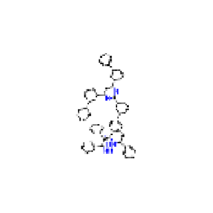 N=C(/C(=C1\NC(c2ccccc2)=Cc2cc(-c3cccc(-c4nc(-c5cccc(-c6ccccc6)c5)cc(-c5cccc(-c6ccccc6)c5)n4)c3)ccc21)c1ccccc1)c1ccccc1